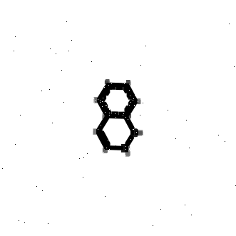 C1=Cc2ccccc2O[N]1